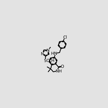 CC1(C)CNC(=O)c2cc(NCc3ccc(Cl)cc3)ccc21.Cn1cnc(S(=O)(=O)O)c1